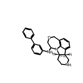 c1ccc(-c2cccc(NC3COCc4cccc5c4N3[C@H]3CCNC[C@@H]53)c2)cc1